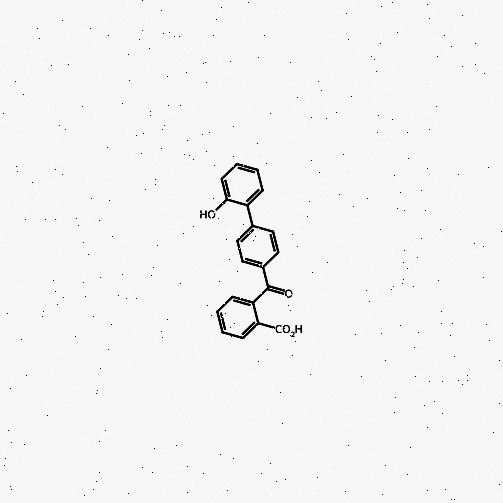 O=C(O)c1ccccc1C(=O)c1ccc(-c2ccccc2O)cc1